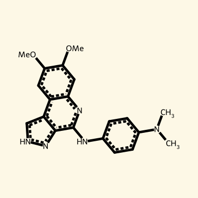 COc1cc2nc(Nc3ccc(N(C)C)cc3)c3n[nH]cc3c2cc1OC